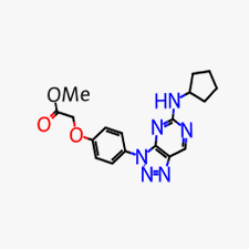 COC(=O)COc1ccc(-n2nnc3cnc(NC4CCCC4)nc32)cc1